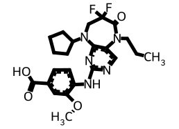 CCCN1C(=O)C(F)(F)CN(C2CCCC2)c2nc(Nc3ccc(C(=O)O)cc3OC)ncc21